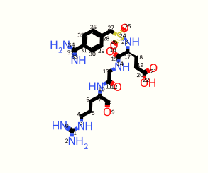 N=C(N)NCCCC(C=O)NC(=O)CNC(=O)[C@H](CCC(=O)O)NS(=O)(=O)Cc1ccc(C(=N)N)cc1